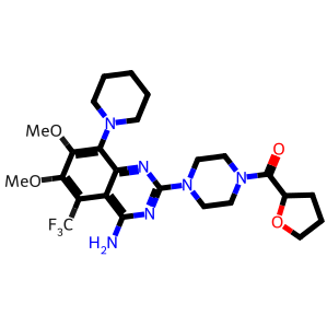 COc1c(OC)c(C(F)(F)F)c2c(N)nc(N3CCN(C(=O)C4CCCO4)CC3)nc2c1N1CCCCC1